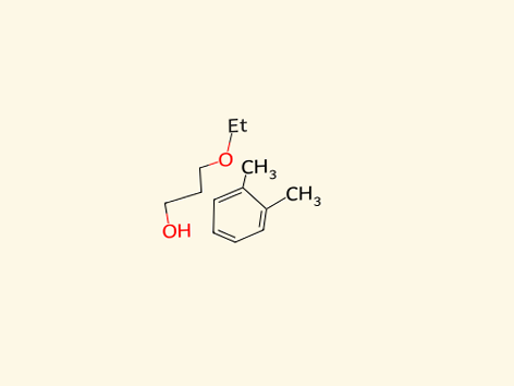 CCOCCCO.Cc1ccccc1C